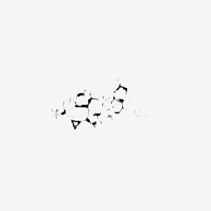 COc1ncnc(OC)c1-n1c(NS(=O)(=O)[C@@H](C)[C@H](OC)c2ncc(Cl)cn2)nnc1[C@H]1C[C@@H]1C(F)F